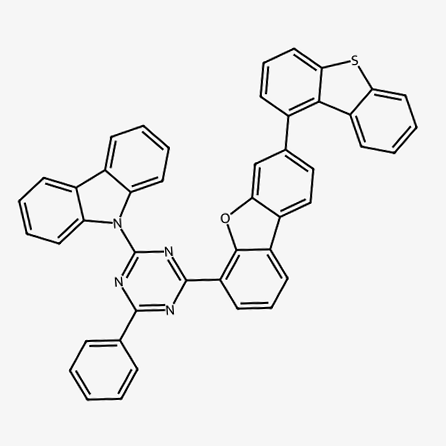 c1ccc(-c2nc(-c3cccc4c3oc3cc(-c5cccc6sc7ccccc7c56)ccc34)nc(-n3c4ccccc4c4ccccc43)n2)cc1